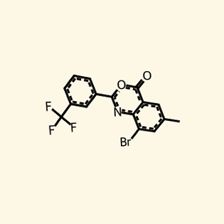 Cc1cc(Br)c2nc(-c3cccc(C(F)(F)F)c3)oc(=O)c2c1